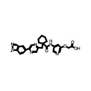 Cn1ncc2cc(-c3cnc(CC4(C(=O)Nc5cncc(OCC(=O)O)c5)CCCCC4)cn3)ccc21